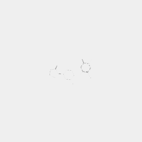 Cl.Cn1cc(Br)c(O[C@H]2CC[C@H](N3NCCC3=O)CC2)cc1=O